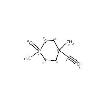 C#CC1(C)CSP(C)(=O)SC1